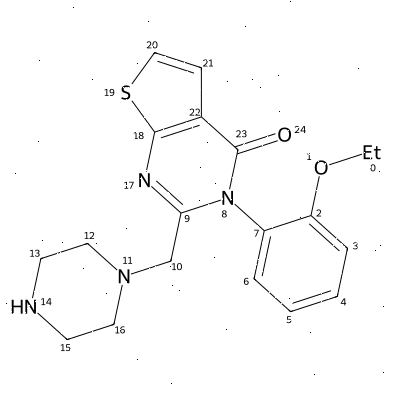 CCOc1ccccc1-n1c(CN2CCNCC2)nc2sccc2c1=O